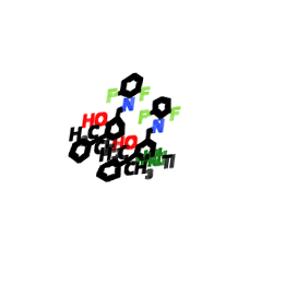 CC(C)(c1ccccc1)c1cccc(C=Nc2c(F)cccc2F)c1O.CC(C)(c1ccccc1)c1cccc(C=Nc2c(F)cccc2F)c1O.Cl.Cl.[Ti]